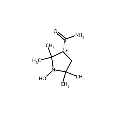 CC1(C)C[C@@H](C(N)=O)C(C)(C)N1O